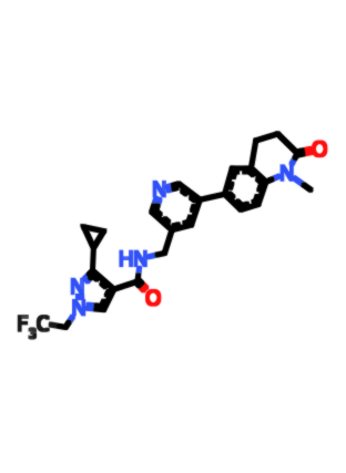 CN1C(=O)CCc2cc(-c3cncc(CNC(=O)c4cn(CC(F)(F)F)nc4C4CC4)c3)ccc21